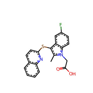 Cc1c(Sc2ccc3ccccc3n2)c2cc(F)ccc2n1CC(=O)O